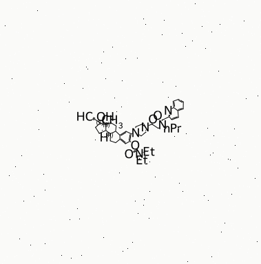 C#C[C@]1(O)CCC2[C@@H]3CCc4cc(OC(=O)N(CC)CC)c(N5CCN(C(=O)CN(CCC)C(=O)c6ccc7ccccc7n6)CC5)cc4C3CC[C@@]21C